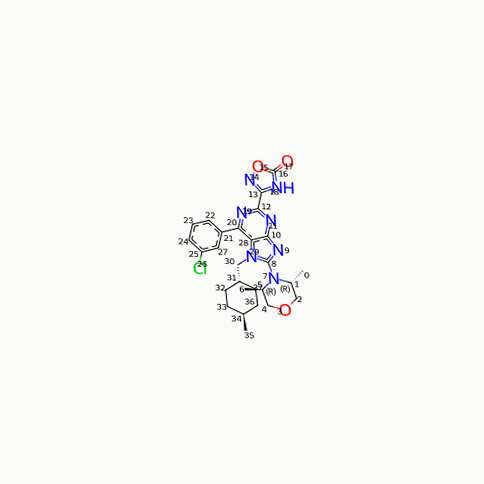 C[C@@H]1COC[C@@H](C)N1c1nc2nc(-c3noc(=O)[nH]3)nc(-c3cccc(Cl)c3)c2n1C[C@H]1CC[C@H](C)CC1